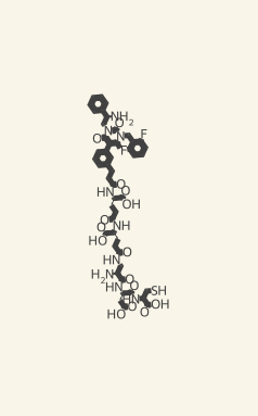 Cc1c(-c2cccc(CCC(=O)N[C@@H](CCC(=O)N[C@H](CCC(=O)NC[C@H](N)C(=O)N[C@@H](CC(=O)O)C(=O)NC(CS)C(=O)O)C(=O)O)C(=O)O)c2)c(=O)n(C[C@H](N)c2ccccc2)c(=O)n1Cc1c(F)cccc1F